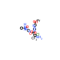 CC(C)OC(=O)c1ccc(N2CCN(C(=O)[C@@H](Cc3cc(Cl)c(N)c(C(F)(F)F)c3)OC(=O)N3CCC(n4nc(-c5ccccc5)[nH]c4=O)CC3)CC2)nc1